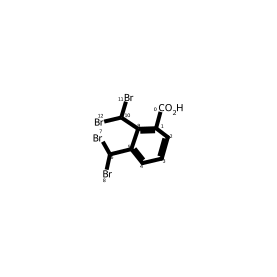 O=C(O)c1cccc(C(Br)Br)c1C(Br)Br